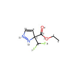 CCOC(=O)C1(C(F)F)C=CN=N1